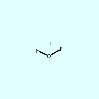 FOF.[Ti]